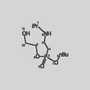 CCCCOP(=O)(CCNC(C)C)OCCO